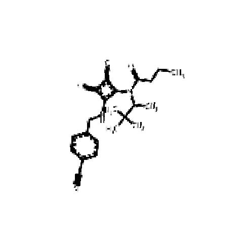 CCCC(=O)N(c1c(NCc2ccc(C#N)cc2)c(=O)c1=O)C(C)C(C)(C)C